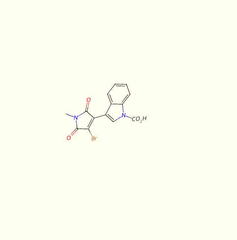 CN1C(=O)C(Br)=C(c2cn(C(=O)O)c3ccccc23)C1=O